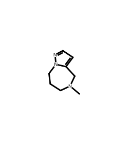 CN1CCCn2nccc2C1